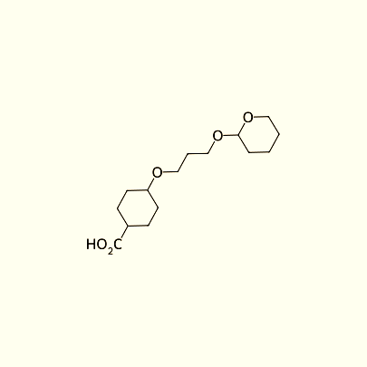 O=C(O)C1CCC(OCCCOC2CCCCO2)CC1